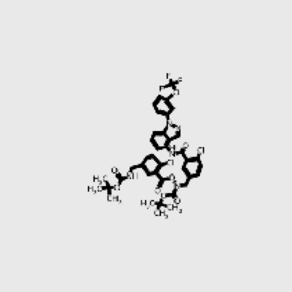 CC(C)(C)OC(=O)NCc1ccc(Cl)c(C(=O)ON(Cc2ccc(Cl)c(C(=O)Nc3cccc4c3cnn4-c3cccc(OC(F)(F)F)c3)c2)C(=O)OC(C)(C)C)c1